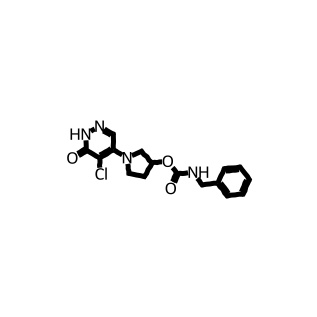 O=C(NCc1ccccc1)OC1CCN(c2cn[nH]c(=O)c2Cl)C1